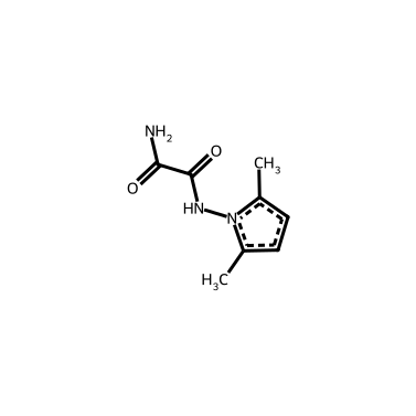 Cc1ccc(C)n1NC(=O)C(N)=O